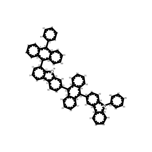 c1ccc(-c2c3ccccc3c(-c3cccc4c3oc3cc(-c5c6ccccc6c(-c6ccc7c(c6)c6ccccc6n7-c6ccccc6)c6ccccc56)ccc34)c3ccccc23)cc1